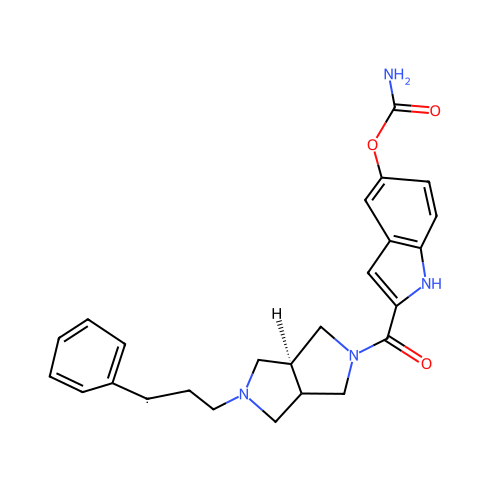 NC(=O)Oc1ccc2[nH]c(C(=O)N3CC4CN(CC[CH]c5ccccc5)C[C@H]4C3)cc2c1